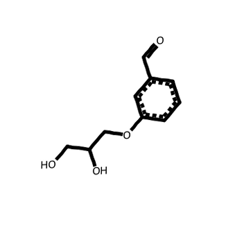 O=Cc1cccc(OCC(O)CO)c1